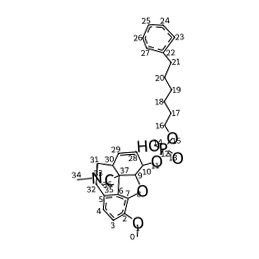 COc1ccc2c3c1OC1C(OP(=O)(O)OCCCCCCc4ccccc4)C=CC4C(C2)N(C)CCC341